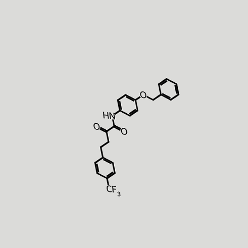 O=C(CCc1ccc(C(F)(F)F)cc1)C(=O)Nc1ccc(OCc2ccccc2)cc1